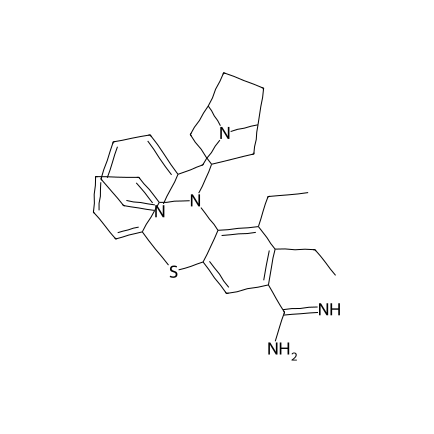 CCc1c(C(=N)N)cc2c(c1CC)N(C1CC3CCC(C1)N3Cc1ccccn1)c1ccccc1S2